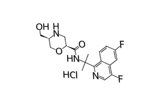 CC(C)(NC(=O)[C@@H]1CN[C@H](CO)CO1)c1ncc(F)c2cc(F)ccc12.Cl